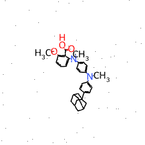 COc1cccc(N(C)c2ccc(N(C)c3ccc(C45CC6CC(CC(C6)C4)C5)cc3)cc2)c1C(=O)O